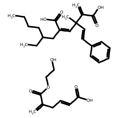 C=C(C(=O)O)C(C)(C=Cc1ccccc1)C=C(CC(CC)CCCC)C(=O)O.C=C(CC=CC(=O)O)C(=O)OCCO